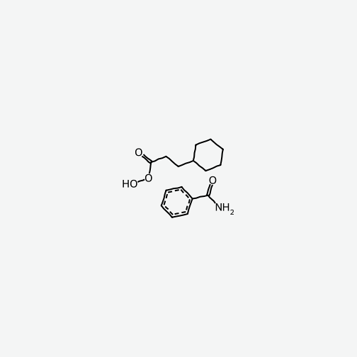 NC(=O)c1ccccc1.O=C(CCC1CCCCC1)OO